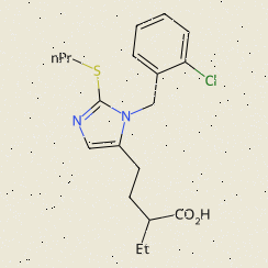 CCCSc1ncc(CCC(CC)C(=O)O)n1Cc1ccccc1Cl